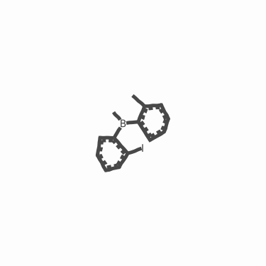 CB(c1ccccc1C)c1ccccc1I